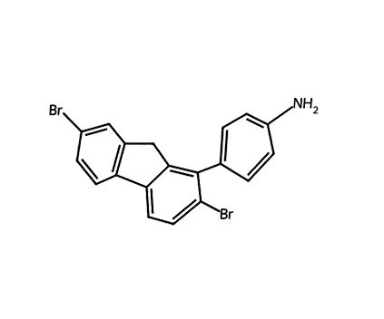 Nc1ccc(-c2c(Br)ccc3c2Cc2cc(Br)ccc2-3)cc1